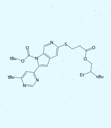 CCCCC(CC)COC(=O)CCSc1cc2cc(-c3cc(C(C)(C)C)ncn3)n(C(=O)OC(C)(C)C)c2cn1